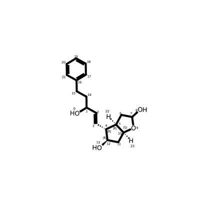 OC(C=C[C@@H]1[C@H]2CC(O)O[C@H]2C[C@H]1O)CCc1ccccc1